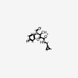 CC(C(=O)C(=O)NCC1CC1)N(C=O)c1ccc(F)cc1